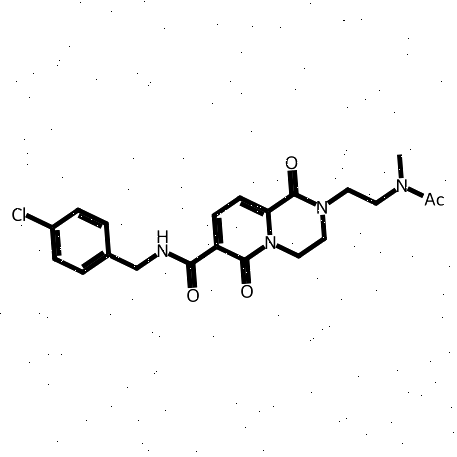 CC(=O)N(C)CCN1CCn2c(ccc(C(=O)NCc3ccc(Cl)cc3)c2=O)C1=O